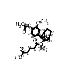 Br.Br.COc1cc(C[N+]2(C)C3CCC2CC(OC(=O)CCCC(=O)O)C3)ccc1OC(C)=O